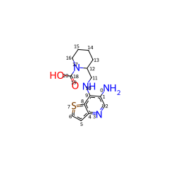 Nc1cnc2ccsc2c1NCC1CCCCN1C(=O)O